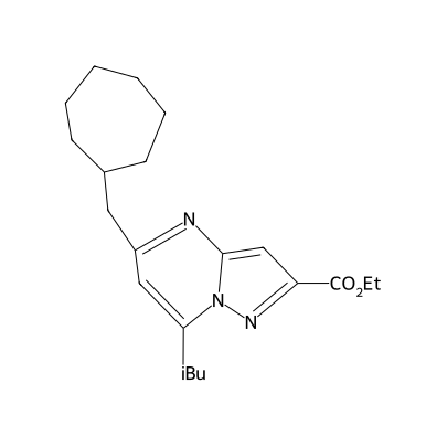 CCOC(=O)c1cc2nc(CC3CCCCCC3)cc(C(C)CC)n2n1